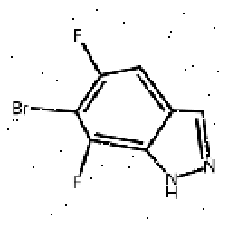 Fc1cc2cn[nH]c2c(F)c1Br